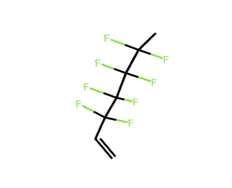 C=CC(F)(F)C(F)(F)C(F)(F)C(C)(F)F